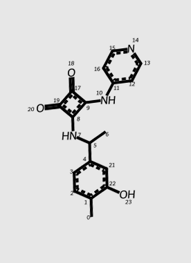 Cc1ccc(C(C)Nc2c(Nc3ccncc3)c(=O)c2=O)cc1O